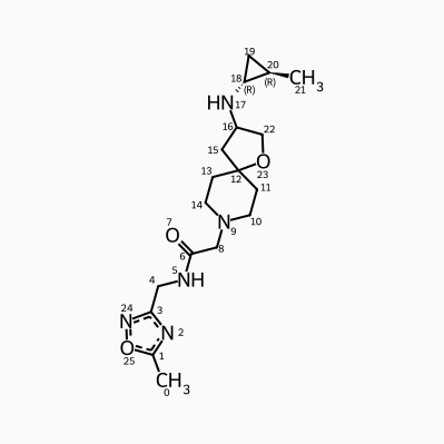 Cc1nc(CNC(=O)CN2CCC3(CC2)CC(N[C@@H]2C[C@H]2C)CO3)no1